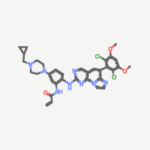 C=CC(=O)Nc1cc(N2CCN(CC3CC3)CC2)ccc1Nc1ncc2cc(-c3c(Cl)c(OC)cc(OC)c3Cl)c3nccn3c2n1